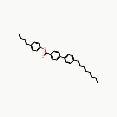 CCCCCCCCc1ccc(-c2ccc(C(=O)Oc3ccc(CCCC)cc3)cc2)cc1